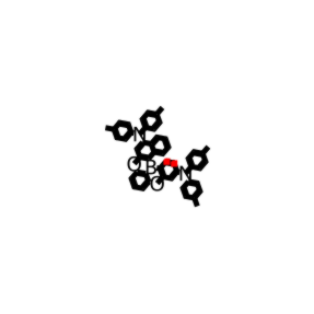 Cc1ccc(N(c2ccc(C)cc2)c2cc3c(c4ccccc24)B2c4c(cccc4Oc4cc(N(c5ccc(C)cc5)c5ccc(C)cc5)c5ccccc5c42)O3)cc1